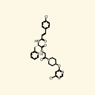 O=C(/C=C/c1ccc(Cl)cc1)N[C@@H](Cc1ccccn1)C(=O)NCC(=O)N1CCC(Oc2cc(Cl)ncn2)CC1